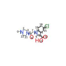 CN1CCN(C(=O)Cn2cc(C(=O)O)c3cc(Cl)ccc32)CC1